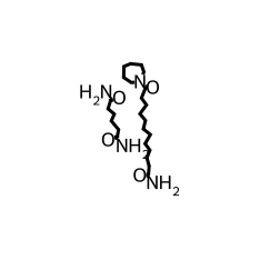 NC(=O)CCCCC(N)=O.NC(=O)CCCCCCCCCCC(=O)N1CCCCCC1